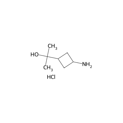 CC(C)(O)C1CC(N)C1.Cl